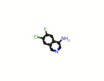 Nc1cncc2cc(Cl)c(F)cc12